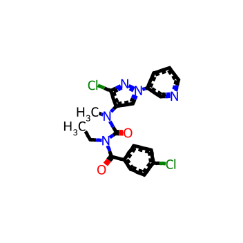 CCN(C(=O)c1ccc(Cl)cc1)C(=O)N(C)c1cn(-c2cccnc2)nc1Cl